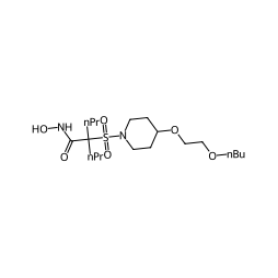 CCCCOCCOC1CCN(S(=O)(=O)C(CCC)(CCC)C(=O)NO)CC1